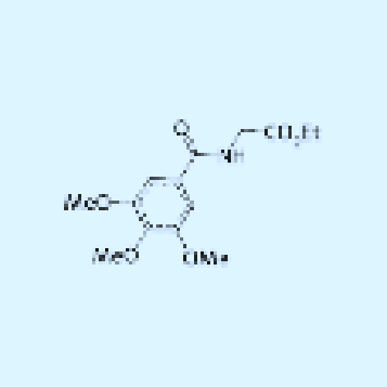 CCOC(=O)CNC(=O)c1cc(OC)c(OC)c(OC)c1